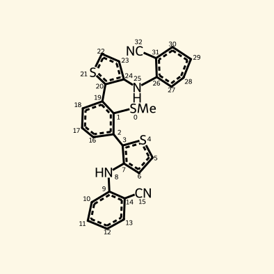 CSc1c(-c2sccc2Nc2ccccc2C#N)cccc1-c1sccc1Nc1ccccc1C#N